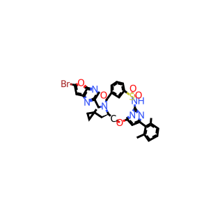 Cc1cccc(C)c1-c1cc2nc(n1)NS(=O)(=O)c1cccc(c1)C(=O)N(Cc1cnc3oc(Br)cc3n1)[C@H](CC1(C)CC1)CO2